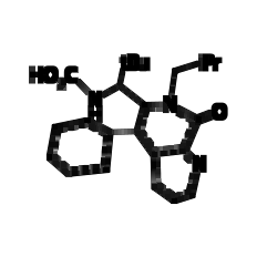 CC(C)Cn1c(C(NC(=O)O)C(C)(C)C)c(-c2ccccc2)c2cccnc2c1=O